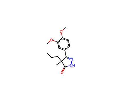 CCCC1(C)C(=O)NN=C1c1ccc(OC)c(OC)c1